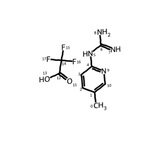 Cc1ccc(NC(=N)N)nc1.O=C(O)C(F)(F)F